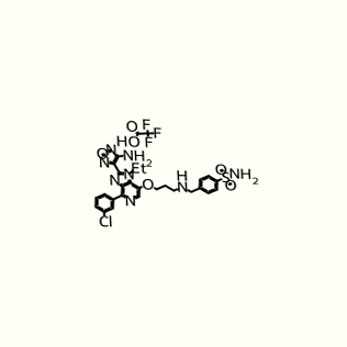 CCn1c(-c2nonc2N)nc2c(-c3cccc(Cl)c3)ncc(OCCCNCc3ccc(S(N)(=O)=O)cc3)c21.O=C(O)C(F)(F)F